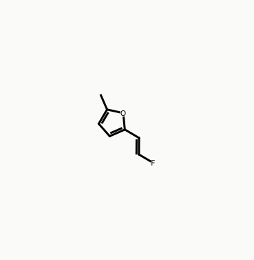 Cc1ccc(/C=C/F)o1